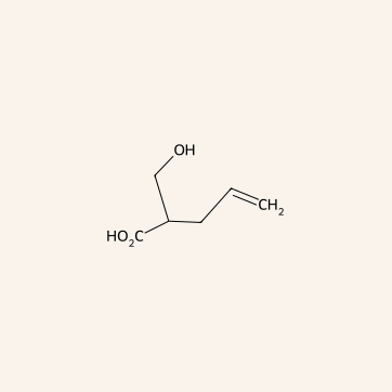 C=CCC(CO)C(=O)O